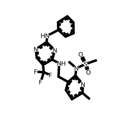 Cc1ccc(CNc2nc(Nc3ccccc3)ncc2C(F)(F)F)c(N(C)S(C)(=O)=O)n1